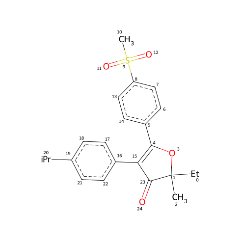 CCC1(C)OC(c2ccc(S(C)(=O)=O)cc2)=C(c2ccc(C(C)C)cc2)C1=O